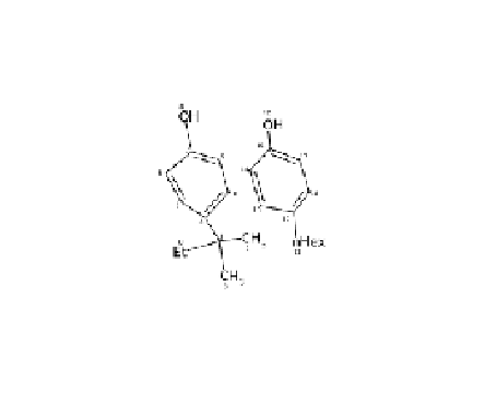 CCC(C)(C)c1ccc(O)cc1.CCCCCCc1ccc(O)cc1